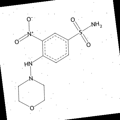 NS(=O)(=O)c1ccc(NN2CCOCC2)c([N+](=O)[O-])c1